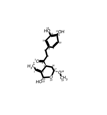 C/C=C1\[C@@H](C(=O)CCc2ccc(O)c(O)c2)C[C@H](OC)O[C@@H]1O